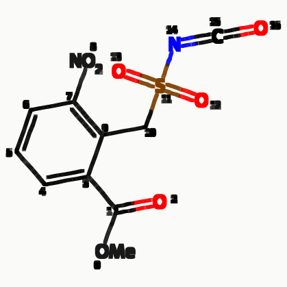 COC(=O)c1cccc([N+](=O)[O-])c1CS(=O)(=O)N=C=O